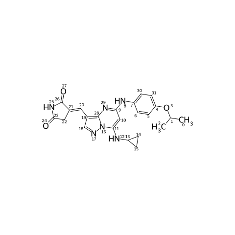 CC(C)Oc1ccc(Nc2cc(NC3CC3)n3ncc(C=C4CC(=O)NC4=O)c3n2)cc1